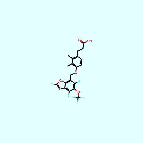 Cc1cc2c(F)c(OC(F)(F)F)c(F)c(COc3ccc(CCC(=O)O)c(C)c3C)c2o1